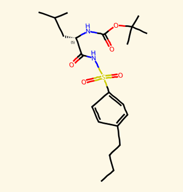 CCCCc1ccc(S(=O)(=O)NC(=O)[C@H](CC(C)C)NC(=O)OC(C)(C)C)cc1